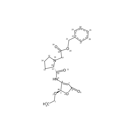 CCO[C@@H]1OC(=O)C=C1NC(=O)[C@@H]1CCCN1CC(=O)OCc1ccccc1